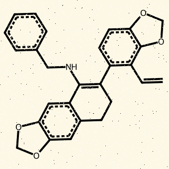 C=Cc1c(C2=C(NCc3ccccc3)c3cc4c(cc3CC2)OCO4)ccc2c1OCO2